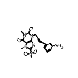 Cn1c(=O)c2c(nc(S(C)(=O)=O)n2C)n(CC#Cc2cccc(N)c2)c1=O